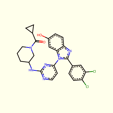 O=C(C1CC1)N1CCCC(Nc2nccc(-n3c(-c4ccc(Cl)c(Cl)c4)nc4ccc(O)cc43)n2)C1